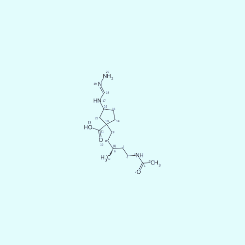 CC(=O)NCC[C@@H](C)CCC1(C(=O)O)CCC(NC=NN)C1